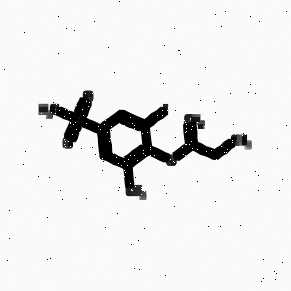 C=C(CC)Oc1c(C)cc(S(C)(=O)=O)cc1I